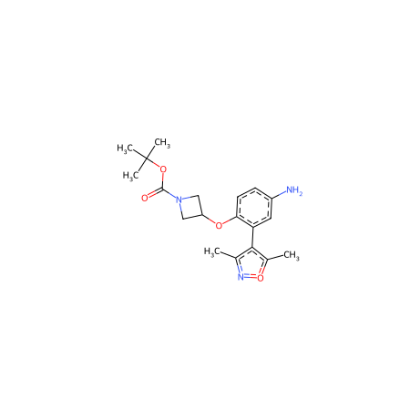 Cc1noc(C)c1-c1cc(N)ccc1OC1CN(C(=O)OC(C)(C)C)C1